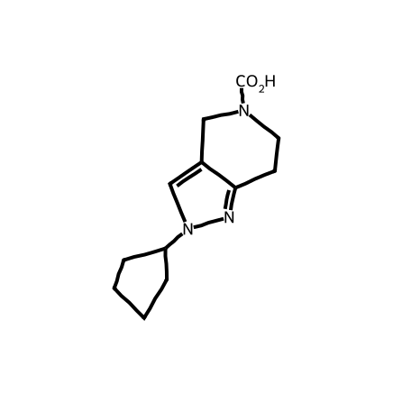 O=C(O)N1CCc2nn(C3CCCC3)cc2C1